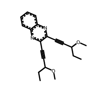 CCC(C#Cc1nc2ccccc2nc1C#CC(CC)OC)OC